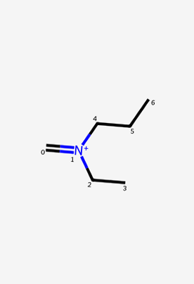 C=[N+](CC)CCC